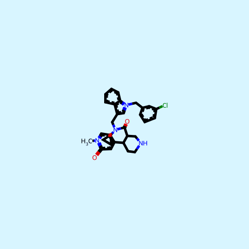 Cn1ccc(C2CCNCC2C(=O)N(Cc2cn(Cc3cccc(Cl)c3)c3ccccc23)C2CC2)cc1=O